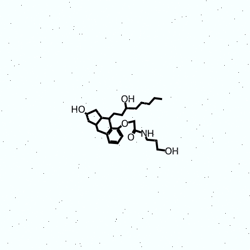 CCCCCC(O)CCC1c2c(cccc2OCC(=O)NCCCO)CC2CC(O)CC21